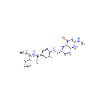 CCNc1nc(=O)c2nc(CNc3ccc(C(=O)N[C@@H](CCC(=O)O)C(=O)O)cc3)cnc2[nH]1